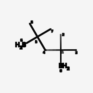 BC(C)(C)CC(B)(C)C